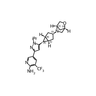 CC(C)n1nc(-c2cnc(N)c(C(F)(F)F)c2)cc1[C@H]1[C@@H]2C[C@@H](N3C[C@@H]4C[C@H]3CO4)C[C@@H]21